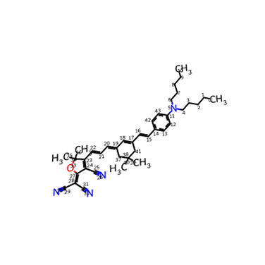 CCCCCN(CCCCC)c1ccc(/C=C/C2=CC(=C/C=C/C3=C(C#N)C(=C(C#N)C#N)OC3(C)C)/CC(C)(C)C2)cc1